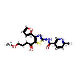 CCCOCCCC(=O)c1sc(NC(=O)c2ccc(CC)nc2)nc1-c1ccco1